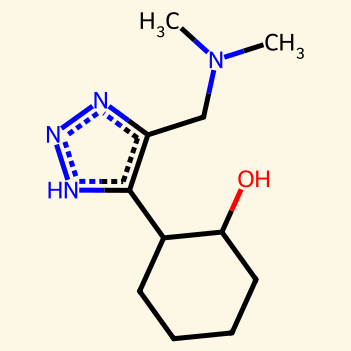 CN(C)Cc1nn[nH]c1C1CCCCC1O